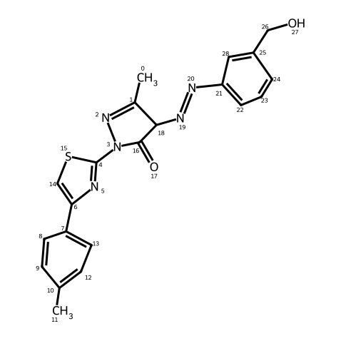 CC1=NN(c2nc(-c3ccc(C)cc3)cs2)C(=O)C1/N=N/c1cccc(CO)c1